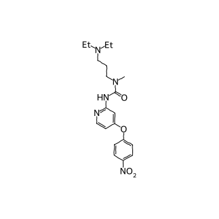 CCN(CC)CCCN(C)C(=O)Nc1cc(Oc2ccc([N+](=O)[O-])cc2)ccn1